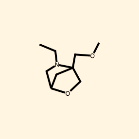 CCN1CC2CC1(COC)CO2